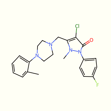 Cc1ccccc1N1CCN(Cc2c(Cl)c(=O)n(-c3ccc(F)cc3)n2C)CC1